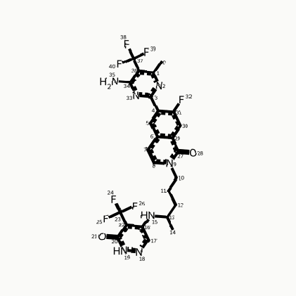 Cc1nc(-c2cc3ccn(CCCC(C)Nc4cn[nH]c(=O)c4C(F)(F)F)c(=O)c3cc2F)nc(N)c1C(F)(F)F